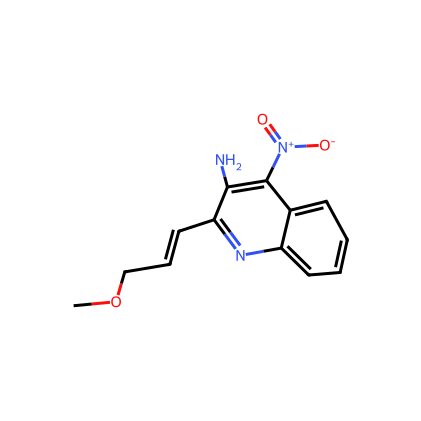 COC/C=C/c1nc2ccccc2c([N+](=O)[O-])c1N